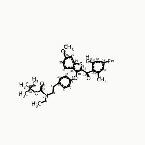 CCN(CCc1ccc(Oc2c(C(=O)c3c(C)cc(F)cc3C)sc3cc(OC)ccc23)cc1)C(=O)OC(C)(C)C